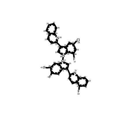 Fc1cc2c(-c3ccc4c(F)cccc4n3)cn(-n3cc(-c4ccc5ccccc5n4)c4cc(Cl)cc(F)c43)c2cc1F